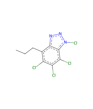 CCCc1c(Cl)c(Cl)c(Cl)c2c1nnn2Cl